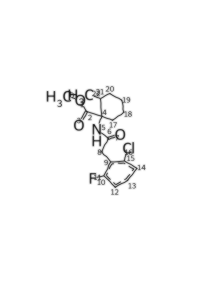 COC(=O)C1(NC(=O)Cc2c(F)cccc2Cl)CCCCC1C